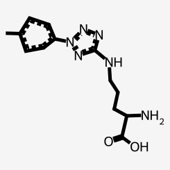 Cc1ccc(-n2nnc(NCCCC(N)C(=O)O)n2)cc1